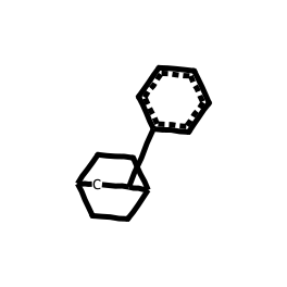 c1ccc(C2CC3CCC2CC3)cc1